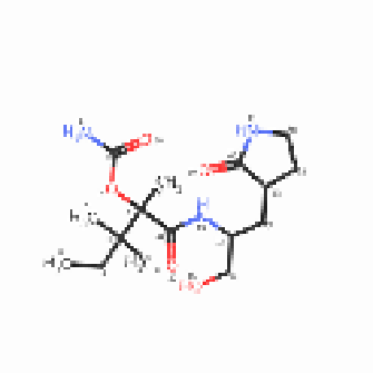 CCC(C)(C)C(C)(OC(N)=O)C(=O)NC(CO)CC1CCNC1=O